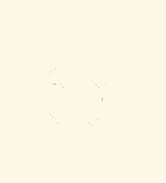 C1#CC2=NC1=CC1=NC(=CC3=NC(=CC4=NC(=C2)C=C4)C=C3)C=C1